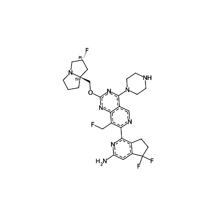 Nc1cc2c(c(-c3ncc4c(N5CCNCC5)nc(OC[C@@]56CCCN5C[C@H](F)C6)nc4c3CF)n1)CCC2(F)F